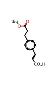 CC(C)(C)OC(=O)CCc1ccc(C=CC(=O)O)cc1